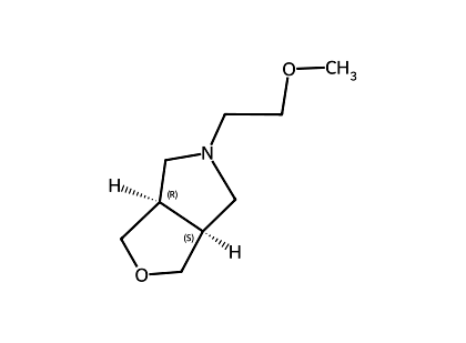 COCCN1C[C@H]2COC[C@H]2C1